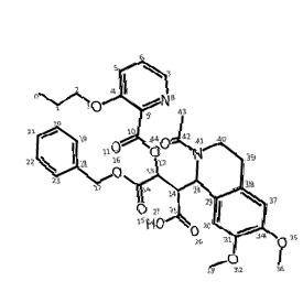 CCCOc1cccnc1C(=O)OC(C(=O)OCc1ccccc1)C(C(=O)O)C1c2cc(OC)c(OC)cc2CCN1C(C)=O